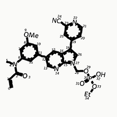 C=CC(=O)N(C)c1cc(OC)cc(-c2cnc3c(c2)c(-c2ccnc(C#N)c2)cn3COP(=O)(O)OCC)c1